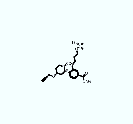 C#CCOC1CCN(C(=O)O)[C@H](c2ccc(C(=O)OC)cc2OCCCO[Si](C)(C)C(C)(C)C)C1